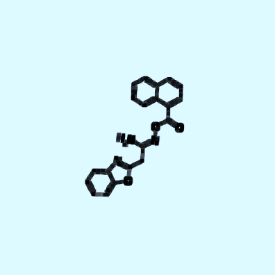 NC(Cc1nc2ccccc2o1)=NOC(=O)c1cccc2ccccc12